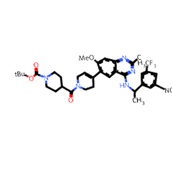 COc1cc2nc(C)nc(NC(C)c3cc([N+](=O)[O-])cc(C(F)(F)F)c3)c2cc1C1=CCN(C(=O)C2CCN(C(=O)OC(C)(C)C)CC2)CC1